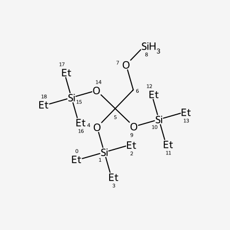 CC[Si](CC)(CC)OC(CO[SiH3])(O[Si](CC)(CC)CC)O[Si](CC)(CC)CC